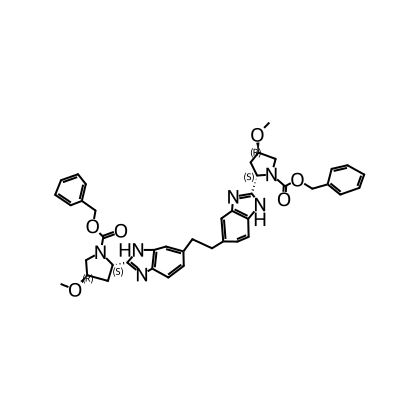 CO[C@@H]1C[C@@H](c2nc3cc(CCc4ccc5nc([C@@H]6C[C@@H](OC)CN6C(=O)OCc6ccccc6)[nH]c5c4)ccc3[nH]2)N(C(=O)OCc2ccccc2)C1